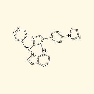 CCn1c(-c2ccc(-n3ccnc3)cc2)cnc1[C@H](Cc1ccncc1)n1[c]cc2ccccc21